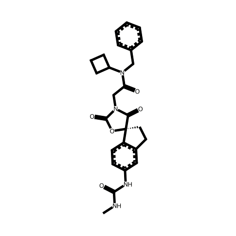 CNC(=O)Nc1ccc2c(c1)CC[C@@]21OC(=O)N(CC(=O)N(Cc2ccccc2)C2CCC2)C1=O